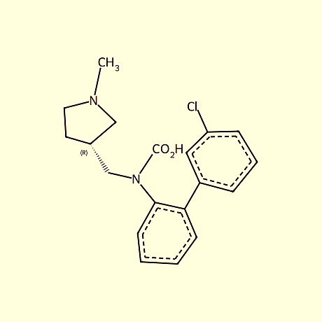 CN1CC[C@@H](CN(C(=O)O)c2ccccc2-c2cccc(Cl)c2)C1